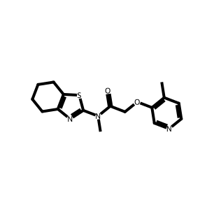 Cc1ccncc1OCC(=O)N(C)c1nc2c(s1)CCCC2